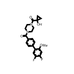 COc1cc(F)c(F)cc1-c1ccc(C(=O)N2CCN(C(=O)C3(O)CC3)CC2)cc1